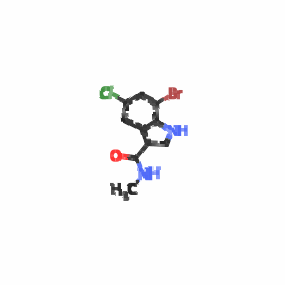 CNC(=O)c1c[nH]c2c(Br)cc(Cl)cc12